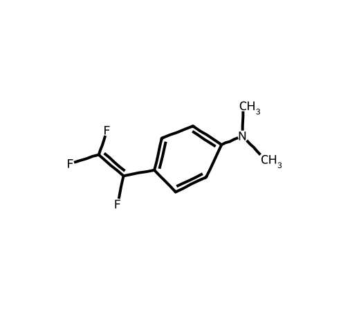 CN(C)c1ccc(C(F)=C(F)F)cc1